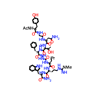 CNC(=N)NCCC[C@@H](NC(=O)[C@H](CC(C)C)NC(=O)NNC(=O)[C@H](Cc1ccccc1)NC(=O)[C@@H](NC(=O)[C@H](CC(N)=O)NC(=O)CNC(=O)[C@@H](Cc1ccc(O)cc1)NC(C)=O)[C@@H](C)O)C(=O)N[C@@H](Cc1c[nH]c2ccccc12)C(N)=O